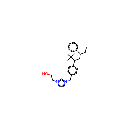 CCC(CC(c1ccc(C[n+]2ccn(CCO)c2)cc1)C(C)(C)C)c1ccccc1